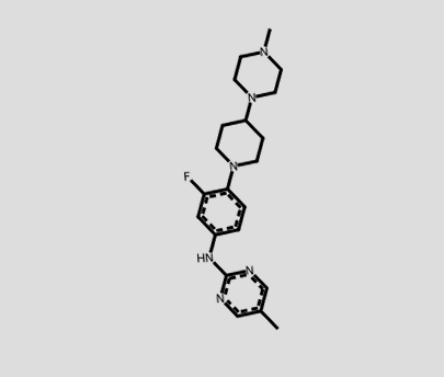 Cc1cnc(Nc2ccc(N3CCC(N4CCN(C)CC4)CC3)c(F)c2)nc1